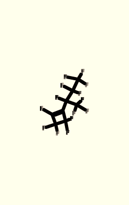 FC1=C(C(F)(C(F)(F)F)C(F)(F)C(F)(F)F)C(F)(F)C1(F)F